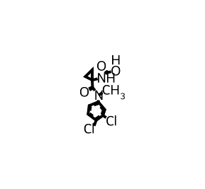 CN(C(=O)C1(NC(=O)O)CC1)c1ccc(Cl)c(Cl)c1